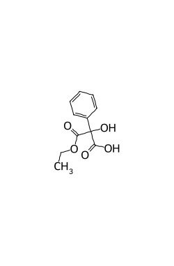 CCOC(=O)C(O)(C(=O)O)c1ccccc1